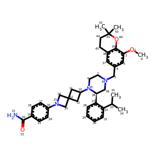 COc1cc(CN2CCN(C3CC4(C3)CN(c3ccc(C(N)=O)cc3)C4)[C@H](c3ccccc3C(C)C)C2)cc2c1OC(C)(C)CC2